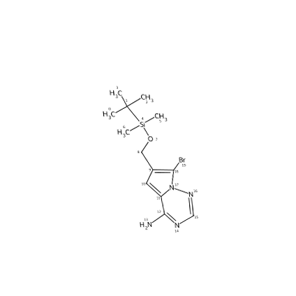 CC(C)(C)[Si](C)(C)OCc1cc2c(N)ncnn2c1Br